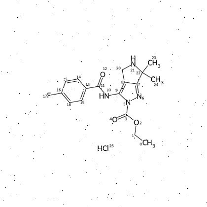 CCOC(=O)n1nc2c(c1NC(=O)c1ccc(F)cc1)CNC2(C)C.Cl